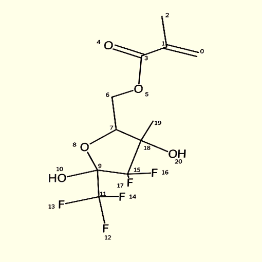 C=C(C)C(=O)OCC1OC(O)(C(F)(F)F)C(F)(F)C1(C)O